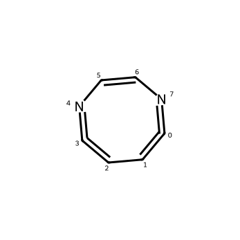 C1=CC=C=N/C=C\N=1